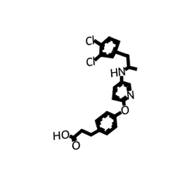 CC(Cc1ccc(Cl)c(Cl)c1)Nc1ccc(Oc2ccc(CCC(=O)O)cc2)nc1